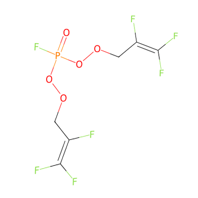 O=P(F)(OOCC(F)=C(F)F)OOCC(F)=C(F)F